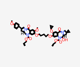 C=CCOC(=O)N1C[C@@H]2CC(c3ccc(OC)cc3)=CN2C(=O)c2cc(OC)c(OCCCCCOc3cc4c(cc3OC3CC3)C(=O)N3CC5(CC5)C[C@H]3C(O)N4C(=O)OCC=C)cc21